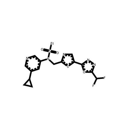 CCS(=O)(=O)N(Cc1ncc(-c2nnc(C(F)F)o2)s1)c1cncc(C2CC2)c1